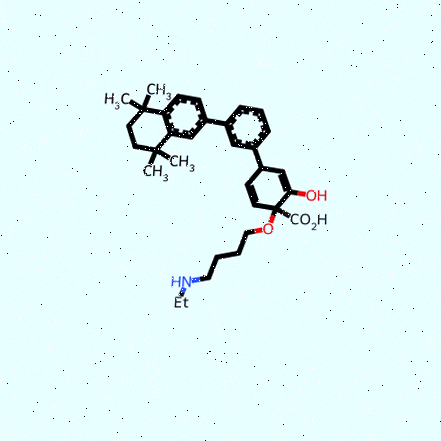 CCNCCCCOC1(C(=O)O)C=CC(c2cccc(-c3ccc4c(c3)C(C)(C)CCC4(C)C)c2)C=C1O